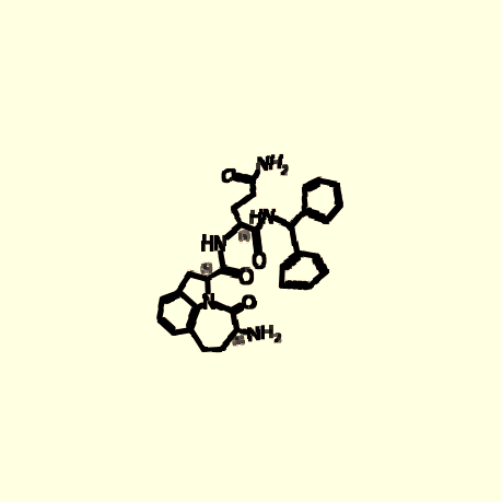 NC(=O)CC[C@H](NC(=O)[C@@H]1Cc2cccc3c2N1C(=O)[C@@H](N)CC3)C(=O)NC(c1ccccc1)c1ccccc1